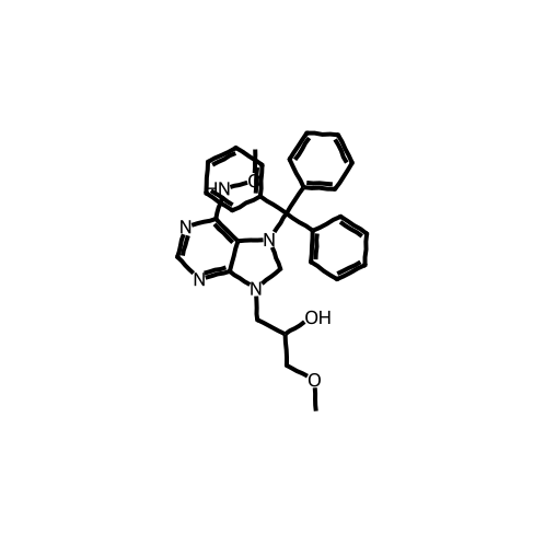 COCC(O)CN1CN(C(c2ccccc2)(c2ccccc2)c2ccccc2)c2c(NOC)ncnc21